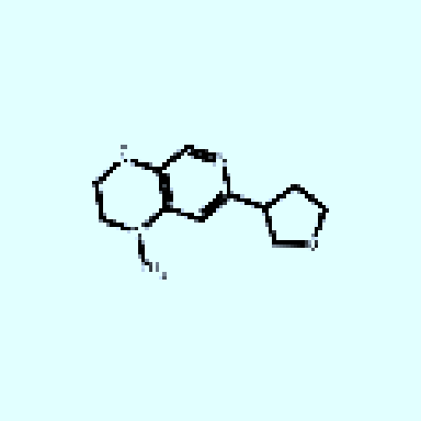 CN1CCNc2cnc(C3CCOC3)cc21